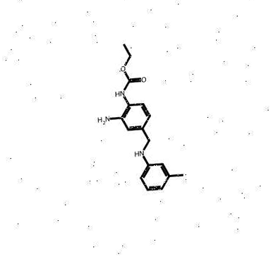 CCOC(=O)Nc1ccc(CNc2cccc(C)c2)cc1N